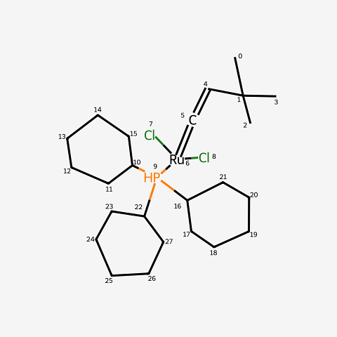 CC(C)(C)C=[C]=[Ru]([Cl])([Cl])[PH](C1CCCCC1)(C1CCCCC1)C1CCCCC1